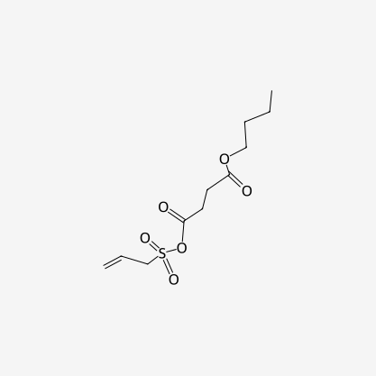 C=CCS(=O)(=O)OC(=O)CCC(=O)OCCCC